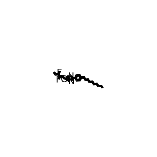 CCCCCCCCCCc1ccc(-c2ncc(OCC(F)C(F)CC)cn2)cc1